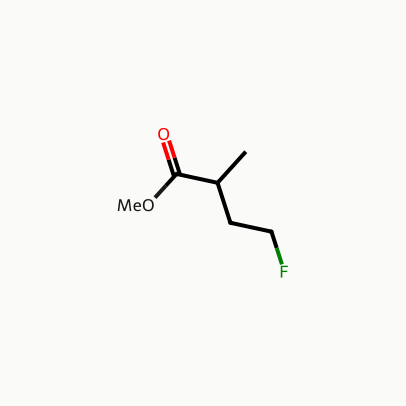 COC(=O)C(C)CCF